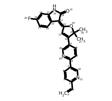 C=Cc1ccc(-c2ccc(C3=CC(=C4C(=O)Nc5cc(F)ccc54)OC3(C)C)cn2)cn1